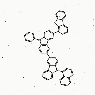 c1ccc(-n2c3ccc(-c4ccc5c(c4)c4ccccc4n5-c4cccc5ccccc45)cc3c3cc(-c4cccc5c4sc4ccccc45)ccc32)cc1